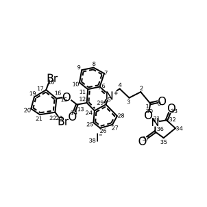 O=C(CCC[n+]1c2ccccc2c(C(=O)Oc2c(Br)cccc2Br)c2ccccc21)ON1C(=O)CCC1=O.[I-]